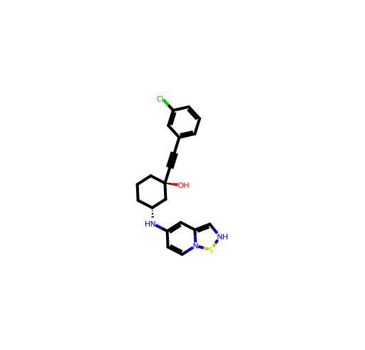 O[C@]1(C#Cc2cccc(Cl)c2)CCC[C@@H](NC2=CC3=CNSN3C=C2)C1